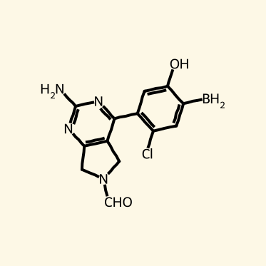 Bc1cc(Cl)c(-c2nc(N)nc3c2CN(C=O)C3)cc1O